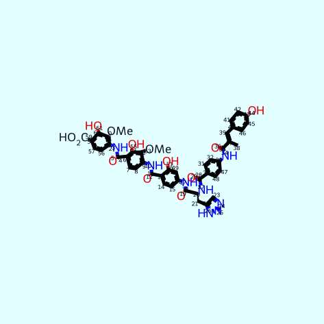 COc1c(NC(=O)c2ccc(NC(=O)c3ccc(NC(=O)[C@H](Cc4cnn[nH]4)NC(=O)c4ccc(NC(=O)/C(C)=C/c5ccc(O)cc5)cc4)cc3O)c(OC)c2O)ccc(C(=O)O)c1O